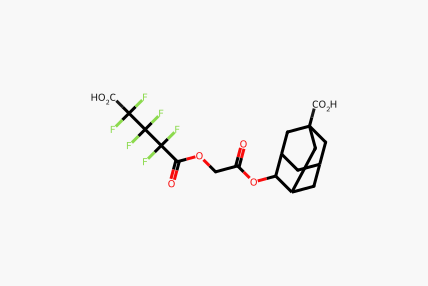 O=C(COC(=O)C(F)(F)C(F)(F)C(F)(F)C(=O)O)OC1C2CC3CC1CC(C(=O)O)(C3)C2